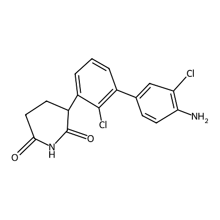 Nc1ccc(-c2cccc(C3CCC(=O)NC3=O)c2Cl)cc1Cl